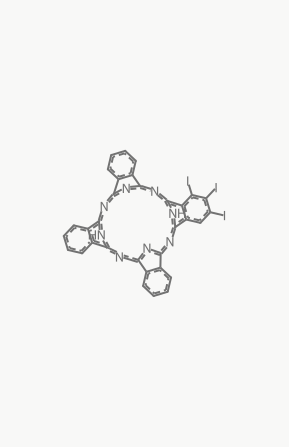 Ic1cc2c3nc4nc(nc5[nH]c(nc6nc(nc([nH]3)c2c(I)c1I)-c1ccccc1-6)c1ccccc51)-c1ccccc1-4